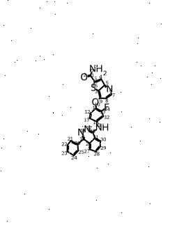 NC(=O)c1cc2nccc(Oc3ccc(Nc4nnc(-c5ccccc5)c5ccccc45)cc3F)c2s1